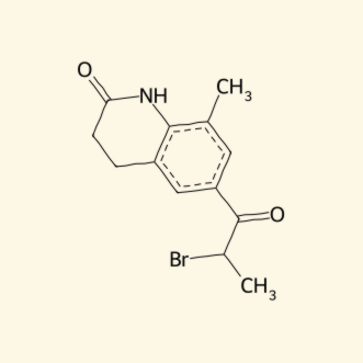 Cc1cc(C(=O)C(C)Br)cc2c1NC(=O)CC2